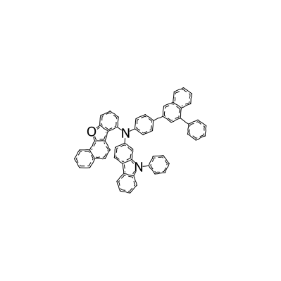 c1ccc(-c2cc(-c3ccc(N(c4ccc5c6ccccc6n(-c6ccccc6)c5c4)c4cccc5oc6c7ccccc7ccc6c45)cc3)cc3ccccc23)cc1